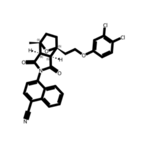 C[C@@]12CC[C@@](CCOc3ccc(Cl)c(Cl)c3)(O1)[C@H]1C(=O)N(c3ccc(C#N)c4ccccc34)C(=O)[C@H]12